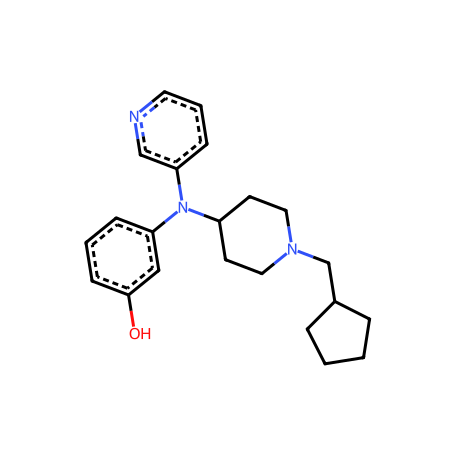 Oc1cccc(N(c2cccnc2)C2CCN(CC3CCCC3)CC2)c1